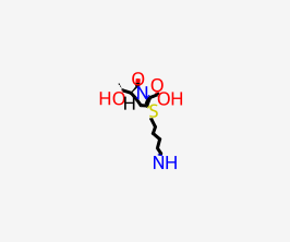 C[C@@H](O)[C@H]1C(=O)N2C(C(=O)O)=C(SCCCCCC=N)C[C@H]12